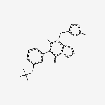 O=c1c(-c2cccc(OC(F)(F)F)c2)c(O)n(Cc2cnc(Cl)s2)c2scc[n+]12